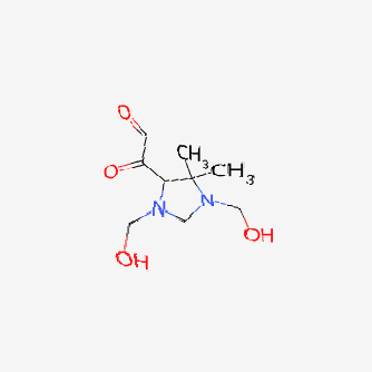 CC1(C)C(C(=O)C=O)N(CO)CN1CO